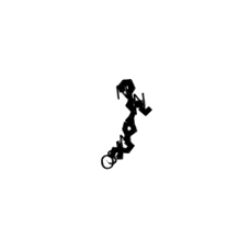 CCn1nc(-c2ccccn2)cc1C1C2CC(N3CCC4(C3)C[S+]([O-])C4)CC21